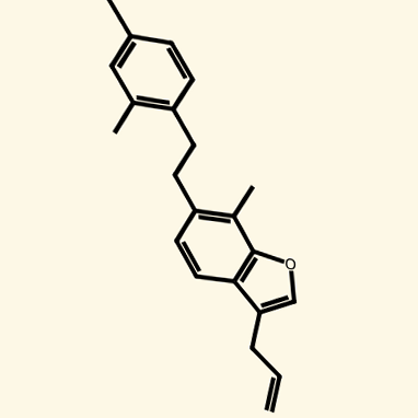 C=CCc1coc2c(C)c(CCc3ccc(C)cc3C)ccc12